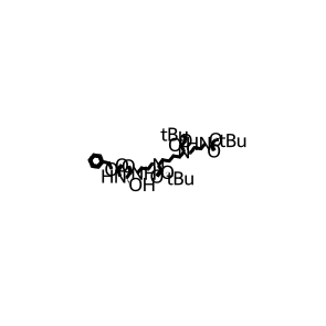 CC(C)(C)OC(=O)NCCCN(CCCCN(CCCNC(=O)[C@H](CO)NC(=O)OCc1ccccc1)C(=O)OC(C)(C)C)C(=O)OC(C)(C)C